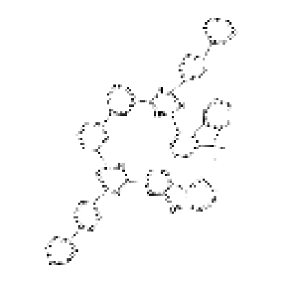 CC1(C)c2ccccc2-c2c(-c3nc(-c4ccc(-c5ccccc5)cc4)nc(-c4cccc(-c5cccc(-c6cc(-c7ccc(-c8ccccc8)cc7)nc(-c7ccc8c(c7)oc7ccccc78)n6)c5)c4)n3)cccc21